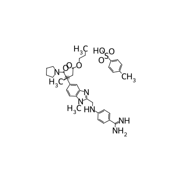 CCCOC(=O)C[C@@](C)(C(=O)N1CCCC1)c1ccc2c(c1)nc(CNc1ccc(C(=N)N)cc1)n2C.Cc1ccc(S(=O)(=O)O)cc1